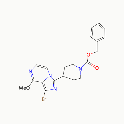 COc1nccn2c(C3CCN(C(=O)OCc4ccccc4)CC3)nc(Br)c12